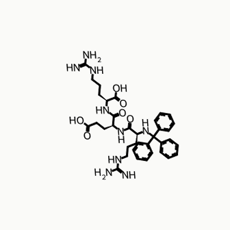 N=C(N)NCCC[C@H](NC(=O)[C@H](CCC(=O)O)NC(=O)[C@H](CCCNC(=N)N)NC(c1ccccc1)(c1ccccc1)c1ccccc1)C(=O)O